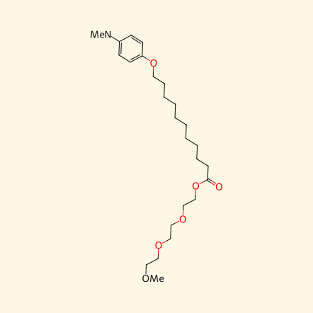 CNc1ccc(OCCCCCCCCCCC(=O)OCCOCCOCCOC)cc1